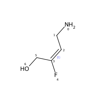 NC/C=C(/F)CO